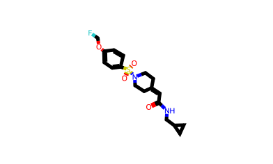 O=C(C=C1CCN(S(=O)(=O)c2ccc(OCF)cc2)CC1)NCC1CC1